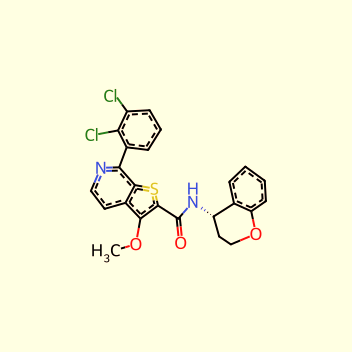 COc1c(C(=O)N[C@H]2CCOc3ccccc32)sc2c(-c3cccc(Cl)c3Cl)nccc12